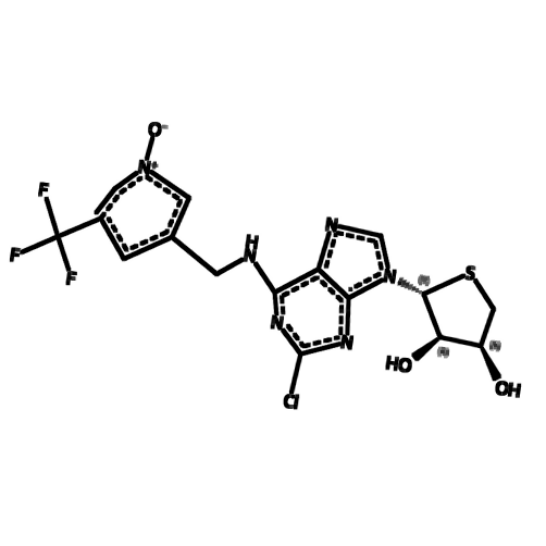 [O-][n+]1cc(CNc2nc(Cl)nc3c2ncn3[C@@H]2SC[C@@H](O)[C@H]2O)cc(C(F)(F)F)c1